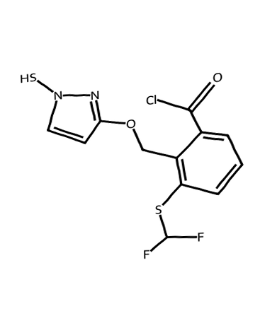 O=C(Cl)c1cccc(SC(F)F)c1COc1ccn(S)n1